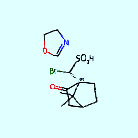 C1=NCCO1.CC1(C)C2CC[C@]1(C(Br)S(=O)(=O)O)C(=O)C2